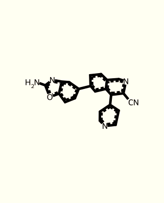 N#Cc1ncc2ccc(-c3ccc4oc(N)nc4c3)cc2c1-c1ccncc1